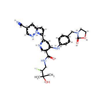 CC(C)(O)C(F)CNC(=O)c1cnc(-c2ccc3cc(C#N)cnn23)cc1Nc1ccc(CN2CCOC2=O)cc1